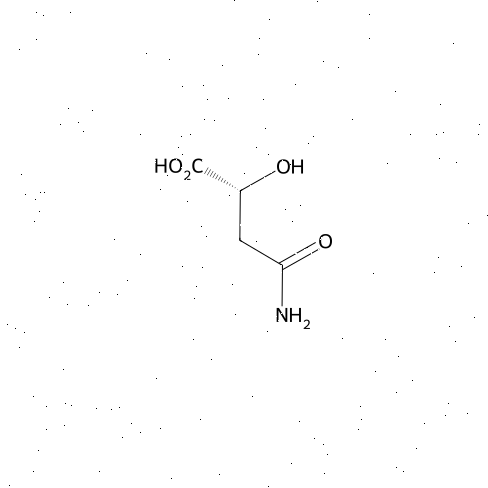 NC(=O)C[C@@H](O)C(=O)O